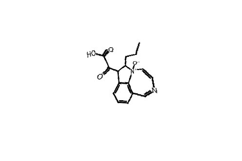 CCCC1C(C(=O)C(=O)O)c2cccc3c2[N+]1([O-])C=CN=C3